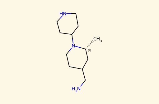 C[C@@H]1CC(CN)CCN1C1CCNCC1